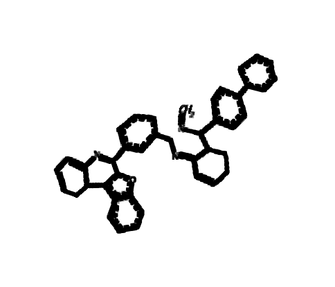 C=NC(c1ccc(-c2ccccc2)cc1)C1CCC=C/C1=N/Cc1cccc(C2=NC3=CC=CCC3c3c2oc2ccccc32)c1